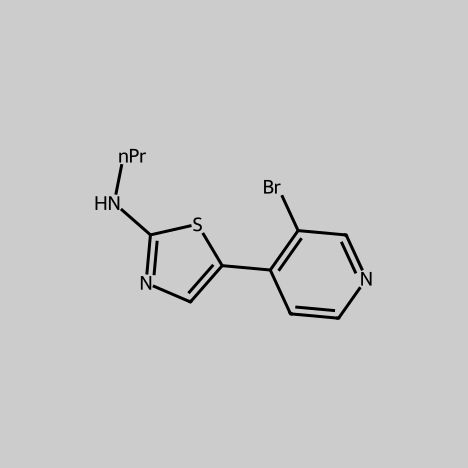 CCCNc1ncc(-c2ccncc2Br)s1